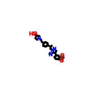 C=Nc1c(-c2cccc(S(C)(=O)=O)c2)cnn1/C=C(\C)c1ccc(CCN2CCC(O)C2)cc1